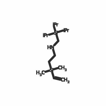 C=C[Si](C)(C)CCNC[Si](C(C)C)(C(C)C)C(C)C